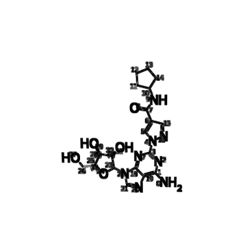 Nc1nc(-n2cc(C(=O)NC3CCCC3)cn2)nc2c1ncn2C1O[C@H](CO)[C@@H](O)[C@H]1O